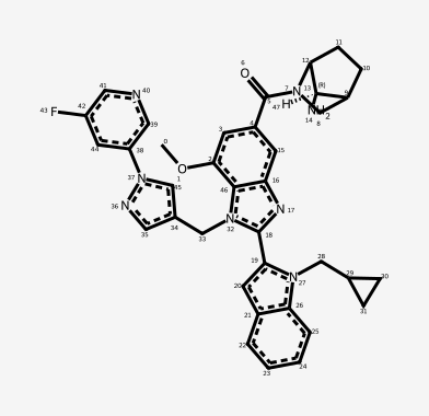 COc1cc(C(=O)N2CC3CCC2[C@@H]3N)cc2nc(-c3cc4ccccc4n3CC3CC3)n(Cc3cnn(-c4cncc(F)c4)c3)c12